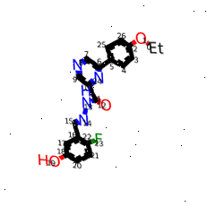 CCOc1ccc(-c2cncc(C(=O)N/N=C/c3cc(O)ccc3F)n2)cc1